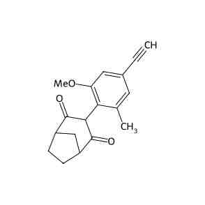 C#Cc1cc(C)c(C2C(=O)C3CCC(C3)C2=O)c(OC)c1